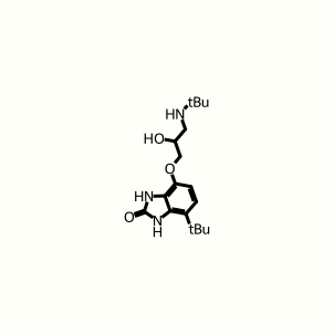 CC(C)(C)NCC(O)COc1ccc(C(C)(C)C)c2[nH]c(=O)[nH]c12